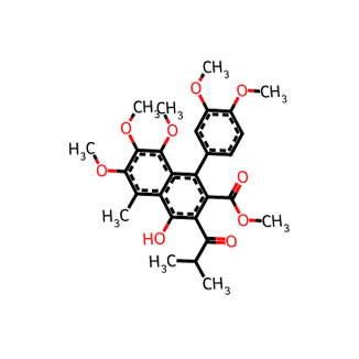 COC(=O)c1c(C(=O)C(C)C)c(O)c2c(C)c(OC)c(OC)c(OC)c2c1-c1ccc(OC)c(OC)c1